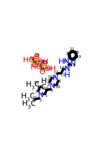 CC(C)CN(CCCN1CCN(CCCNc2nc3ccccc3[nH]2)CC1)CC(C)C.O=S(=O)(O)O.O=S(=O)(O)O